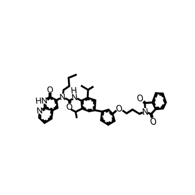 CCCCN(C(=O)Nc1c(C(C)C)cc(-c2cccc(OCCCN3C(=O)c4ccccc4C3=O)c2)cc1C(C)C)c1cc2cccnc2[nH]c1=O